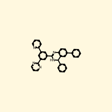 c1ccc(-c2ccc3c(c2)C(c2ccccc2)NC(c2cc(-c4ccccn4)cc(-c4ncccn4)c2)=N3)cc1